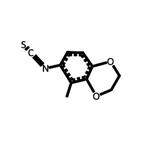 Cc1c(N=C=S)ccc2c1OCCO2